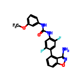 Nc1noc2cccc(-c3cc(F)c(NC(=O)Nc4cccc(OC(F)(F)F)c4)cc3F)c12